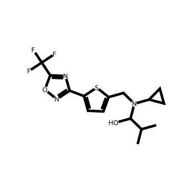 CC(C)C(O)N(Cc1ccc(-c2noc(C(F)(F)F)n2)s1)C1CC1